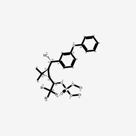 CCOP(=O)(OCC)O[C@H]([C@H]1[C@H]([C@H](C#N)c2cccc(Oc3ccccc3)c2)C1(C)C)C(Br)(Br)Br